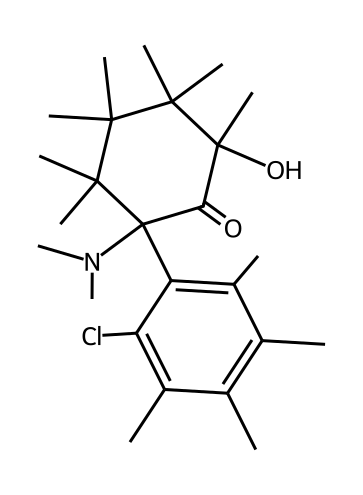 Cc1c(C)c(C)c(C2(N(C)C)C(=O)C(C)(O)C(C)(C)C(C)(C)C2(C)C)c(Cl)c1C